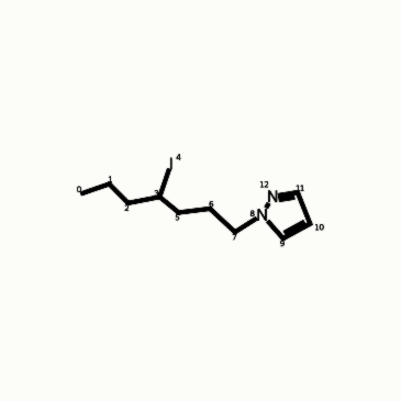 CCCC(I)CCCn1cccn1